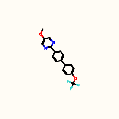 COc1cnc(-c2ccc(-c3ccc(OC(F)(F)F)cc3)cc2)nc1